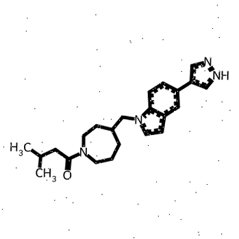 CC(C)CC(=O)N1CCCC(Cn2ccc3cc(-c4cn[nH]c4)ccc32)CC1